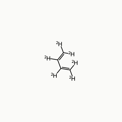 [2H]C([2H])=C([2H])C([2H])=C([2H])[2H]